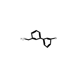 NCc1[c]ccc(-c2cccc(Br)c2)c1